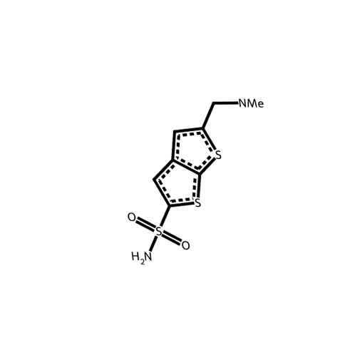 CNCc1cc2cc(S(N)(=O)=O)sc2s1